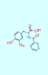 O=C(N[C@@H](Cc1ccc(O)c(O)c1)C(=O)O)c1cccnc1